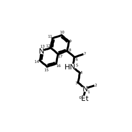 CCN(C)CCNC(C)c1cccc2ncccc12